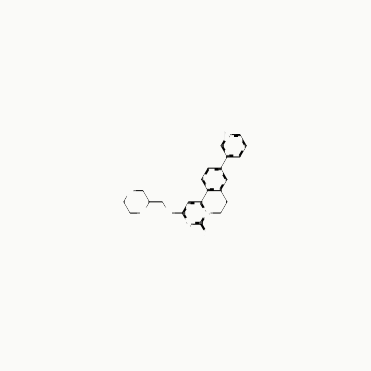 O=c1nc(OCC2COCCO2)cc2n1CCc1cc(-c3cccnc3)ccc1-2